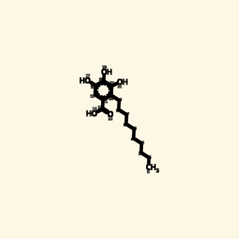 CCCCCCCCCCc1c(C(=O)O)cc(O)c(O)c1O